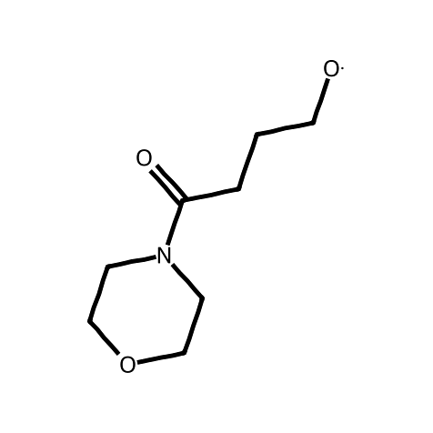 [O]CCCC(=O)N1CCOCC1